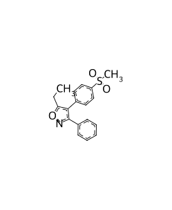 CCc1onc(-c2ccccc2)c1-c1ccc(S(C)(=O)=O)cc1